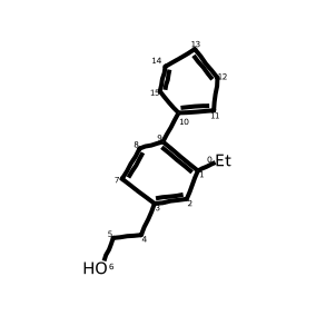 CCc1cc(CCO)ccc1-c1ccccc1